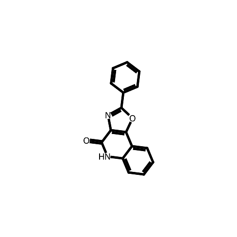 O=c1[nH]c2ccccc2c2oc(-c3ccccc3)nc12